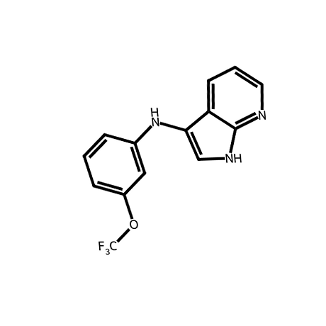 FC(F)(F)Oc1cccc(Nc2c[nH]c3ncccc23)c1